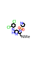 CNCc1cn(S(=O)(=O)c2cccnc2)c2cc(Nc3ccc(Cl)cc3Cl)cnc12